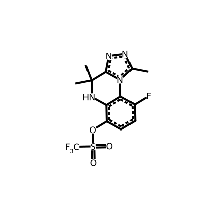 Cc1nnc2n1-c1c(F)ccc(OS(=O)(=O)C(F)(F)F)c1NC2(C)C